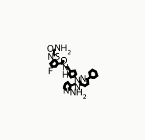 NC(=O)c1nc2cc(F)cc(C(=O)NCc3ccc(-n4c(-c5cccnc5N)nc5ccc(-c6ccccc6)nc54)cc3)c2s1